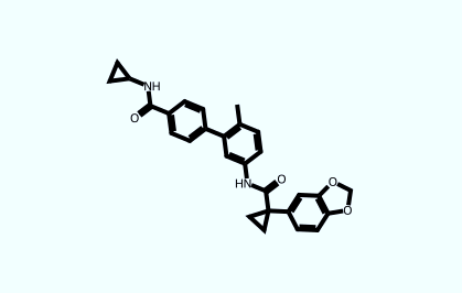 Cc1ccc(NC(=O)C2(c3ccc4c(c3)OCO4)CC2)cc1-c1ccc(C(=O)NC2CC2)cc1